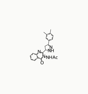 CC(=O)Nn1c(C2CC(c3ccc(C)c(C)c3)=NN2)nc2ccccc2c1=O